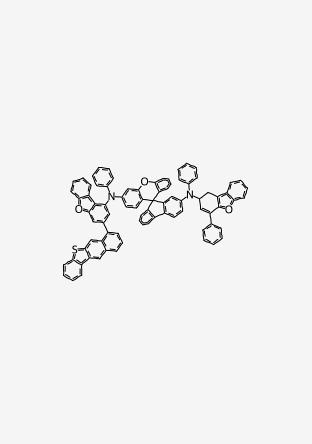 C1=C(c2ccccc2)c2oc3ccccc3c2CC1N(c1ccccc1)c1ccc2c(c1)C1(c3ccccc3Oc3cc(N(c4ccccc4)c4cc(-c5cccc6cc7c(cc56)sc5ccccc57)cc5oc6ccccc6c45)ccc31)c1ccccc1-2